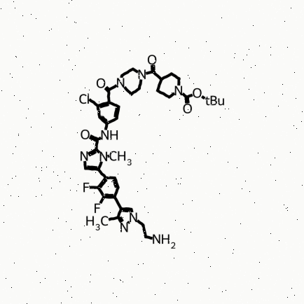 Cc1nn(CCN)cc1-c1ccc(-c2cnc(C(=O)Nc3ccc(C(=O)N4CCN(C(=O)C5CCN(C(=O)OC(C)(C)C)CC5)CC4)c(Cl)c3)n2C)c(F)c1F